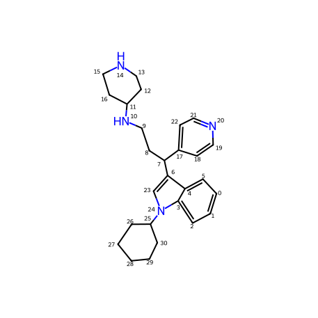 c1ccc2c(c1)c(C(CCNC1CCNCC1)c1ccncc1)cn2C1CCCCC1